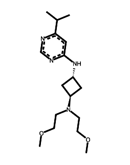 COCCN(CCOC)[C@H]1C[C@H](Nc2cc(C(C)C)ncn2)C1